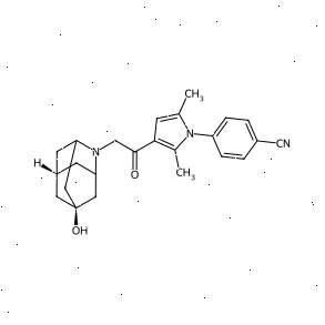 Cc1cc(C(=O)CN2C3C[C@H]4CC2C[C@](O)(C3)C4)c(C)n1-c1ccc(C#N)cc1